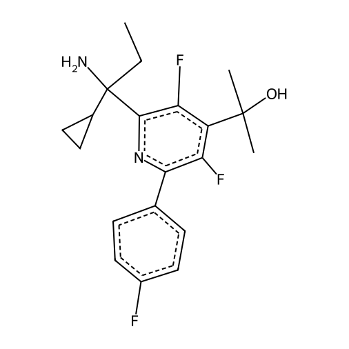 CCC(N)(c1nc(-c2ccc(F)cc2)c(F)c(C(C)(C)O)c1F)C1CC1